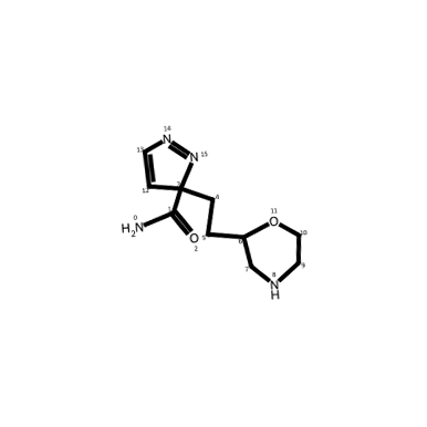 NC(=O)C1(CCC2CNCCO2)C=CN=N1